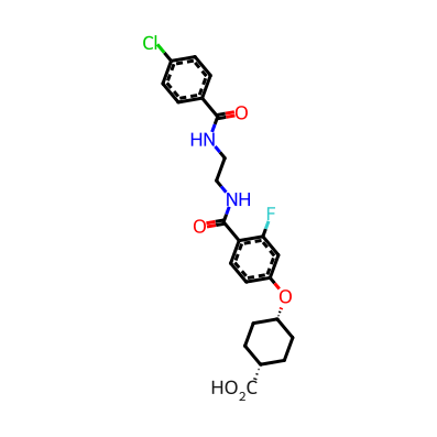 O=C(NCCNC(=O)c1ccc(O[C@H]2CC[C@@H](C(=O)O)CC2)cc1F)c1ccc(Cl)cc1